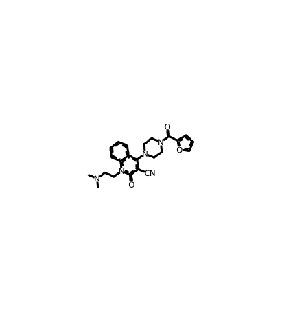 CN(C)CCn1c(=O)c(C#N)c(N2CCN(C(=O)c3ccco3)CC2)c2ccccc21